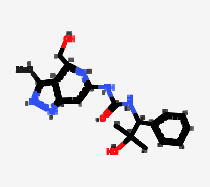 COc1n[nH]c2cc(NC(=O)NC(c3ccccc3)C(C)(C)O)nc(CO)c12